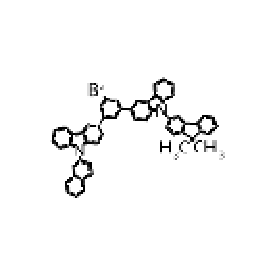 CC1(C)c2ccccc2-c2cc(-n3c4ccccc4c4cc(-c5cc(Br)cc(-c6ccc7c(c6)c6ccccc6n7-c6ccc7ccccc7c6)c5)ccc43)ccc21